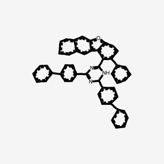 c1ccc(-c2ccc(C3=NC(c4ccc(-c5ccccc5)cc4)NC(c4c(-c5ccccc5)ccc5oc6cc7ccccc7cc6c45)=N3)cc2)cc1